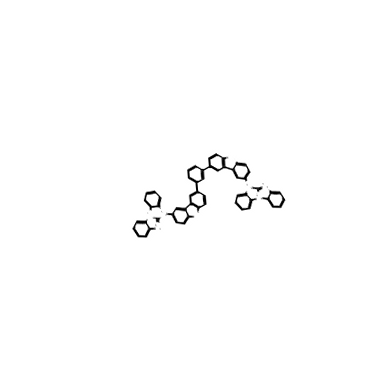 c1cc(-c2ccc3oc4ccc(-n5c6ccccc6n6c7ccccc7nc56)cc4c3c2)cc(-c2ccc3oc4ccc(-n5c6ccccc6n6c7ccccc7nc56)cc4c3c2)c1